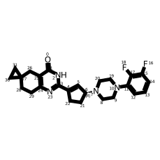 O=c1[nH]c(C2=C[C@H](N3CCN(c4cccc(F)c4F)CC3)CC2)nc2c1CC1(CC2)CC1